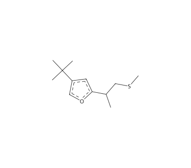 CSCC(C)c1cc(C(C)(C)C)co1